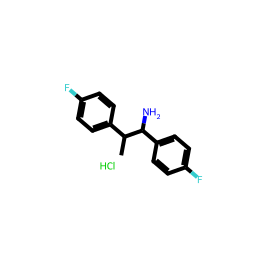 CC(c1ccc(F)cc1)C(N)c1ccc(F)cc1.Cl